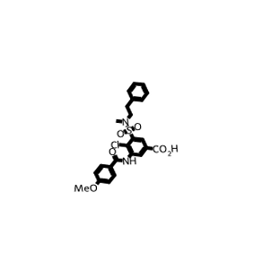 COc1ccc(C(=O)Nc2cc(C(=O)O)cc(S(=O)(=O)N(C)CCc3ccccc3)c2Cl)cc1